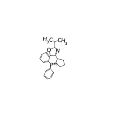 CC(C)C1N=C(C2CCC[C@H]2P(c2ccccc2)c2ccccc2)CO1